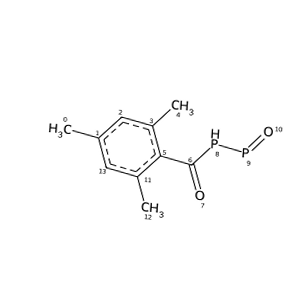 Cc1cc(C)c(C(=O)PP=O)c(C)c1